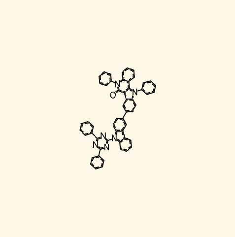 O=c1c2c3cc(-c4ccc5c(c4)c4ccccc4n5-c4nc(-c5ccccc5)nc(-c5ccccc5)n4)ccc3n(-c3ccccc3)c2c2ccccc2n1-c1ccccc1